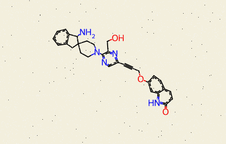 N[C@@H]1c2ccccc2CC12CCN(c1ncc(C#CCOc3ccc4ccc(=O)[nH]c4c3)nc1CO)CC2